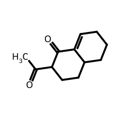 CC(=O)C1CCC2CCCC=C2C1=O